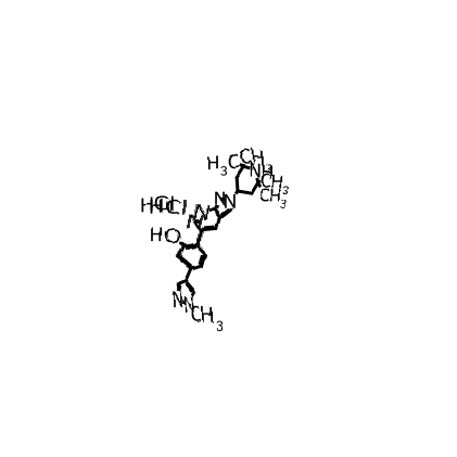 Cl.Cl.Cn1cc(-c2ccc(-c3cc4cn(C5CC(C)(C)NC(C)(C)C5)nc4nn3)c(O)c2)cn1